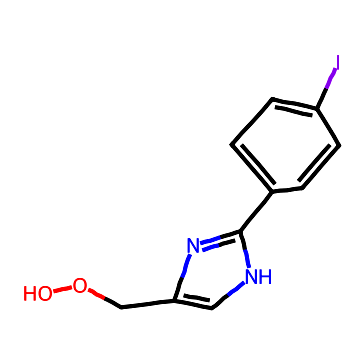 OOCc1c[nH]c(-c2ccc(I)cc2)n1